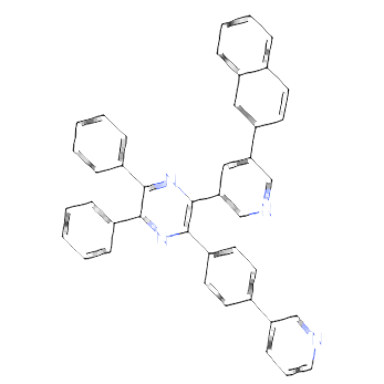 c1ccc(-c2nc(-c3ccc(-c4cccnc4)cc3)c(-c3cncc(-c4ccc5ccccc5c4)c3)nc2-c2ccccc2)cc1